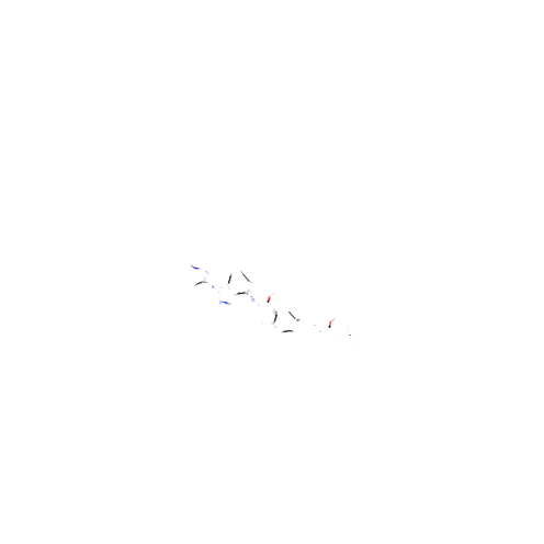 CC(C)(C)CC(=O)NCc1ccc(Cl)c(C(=O)Nc2cccc3c2cnn3-c2cscn2)c1